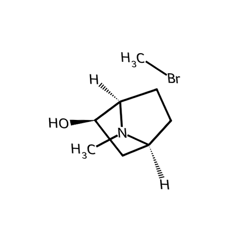 CBr.CN1[C@H]2CC[C@@H]1[C@H](O)C2